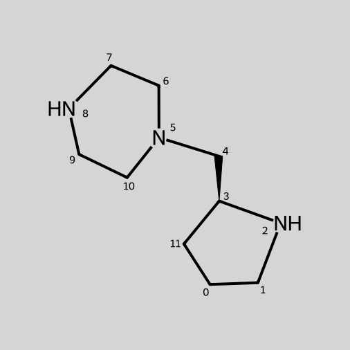 C1CN[C@H](CN2CCNCC2)C1